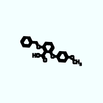 COc1ccc(Oc2cccc(OCc3ccccc3)c2C(=O)O)cc1